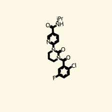 CC(C)NC(=O)c1ccc(N2CCCN(C(=O)c3cc(F)ccc3Cl)C2=O)nc1